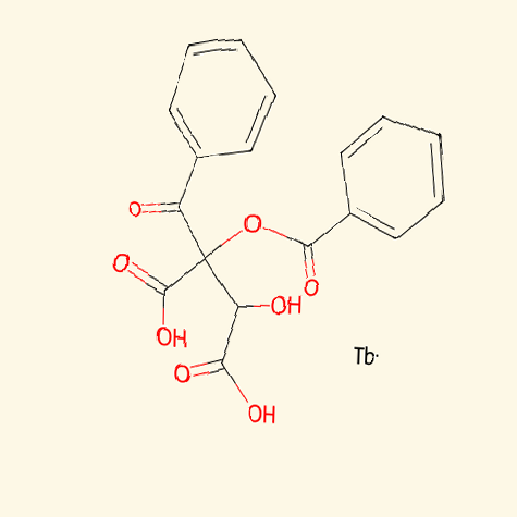 O=C(OC(C(=O)O)(C(=O)c1ccccc1)C(O)C(=O)O)c1ccccc1.[Tb]